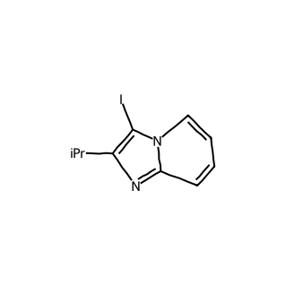 CC(C)c1nc2ccccn2c1I